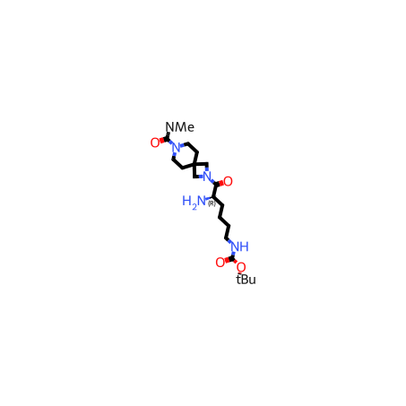 CNC(=O)N1CCC2(CC1)CN(C(=O)[C@H](N)CCCCNC(=O)OC(C)(C)C)C2